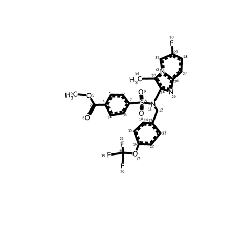 COC(=O)c1ccc(S(=O)(=O)N(Cc2ccc(OC(F)(F)F)cc2)c2nc3ccc(F)cn3c2C)cc1